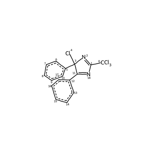 ClC(Cl)(Cl)C1=NC(Cl)(c2ccccc2)C(c2ccccc2)=N1